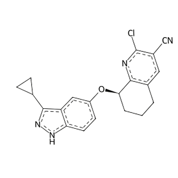 N#Cc1cc2c(nc1Cl)[C@H](Oc1ccc3[nH]nc(C4CC4)c3c1)CCC2